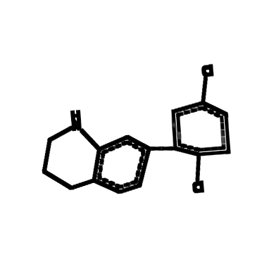 Clc1ccc(Cl)c(-c2ccc3c(c2)NCCC3)c1